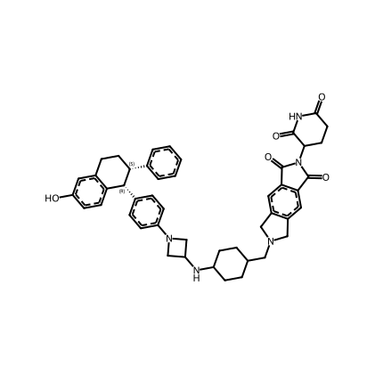 O=C1CCC(N2C(=O)c3cc4c(cc3C2=O)CN(CC2CCC(NC3CN(c5ccc([C@@H]6c7ccc(O)cc7CC[C@@H]6c6ccccc6)cc5)C3)CC2)C4)C(=O)N1